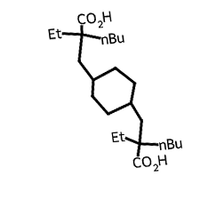 CCCCC(CC)(CC1CCC(CC(CC)(CCCC)C(=O)O)CC1)C(=O)O